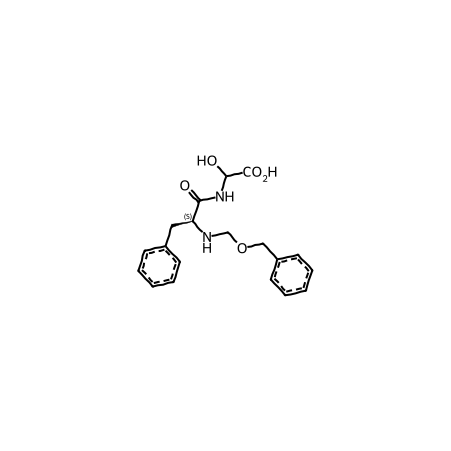 O=C(O)C(O)NC(=O)[C@H](Cc1ccccc1)NCOCc1ccccc1